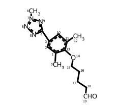 Cc1cc(-c2nnn(C)n2)cc(C)c1OCCCCC=O